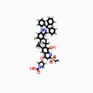 CCS(=O)(=O)c1cc(O[C@H]2CCN(C(=O)O)C2)c2cc(C3CC3)c(C(C)(C)Cc3c(C)c(F)cc4nn(C(c5ccccc5)(c5ccccc5)c5ccccc5)cc34)c(O)c2n1